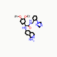 CCOc1cc(C(Nc2ccc3c(N)nccc3c2)C(=O)NCc2ccccc2-n2cncn2)ccc1OC(C)C